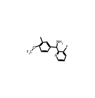 Cc1cc(C(N)c2ncccc2F)ccc1OC(F)(F)F